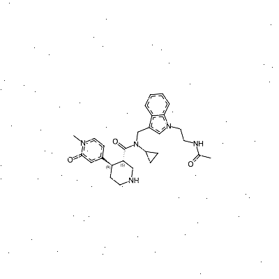 CC(=O)NCCn1cc(CN(C(=O)[C@@H]2CNCC[C@H]2c2ccn(C)c(=O)c2)C2CC2)c2ccccc21